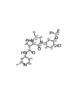 Cc1cc(NC(=O)c2cnn3c2C(=O)N(c2ccc(Cl)c(OC(F)F)c2)C[C@@H]3C)ccn1